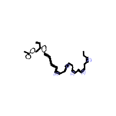 CC/C=C\C/C=C\C/C=C\C/C=C\C/C=C\CCCCOC(CC)COC(C)=O